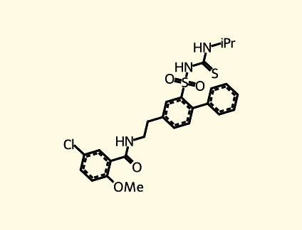 COc1ccc(Cl)cc1C(=O)NCCc1ccc(-c2ccccc2)c(S(=O)(=O)NC(=S)NC(C)C)c1